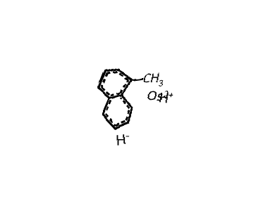 Cc1cccc2ccccc12.[H-].[H-].[Os+2]